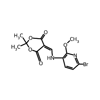 COc1nc(Br)ccc1NC=C1C(=O)OC(C)(C)OC1=O